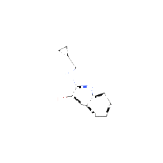 Brc1cc2ccccc2nc1NCC1CC1